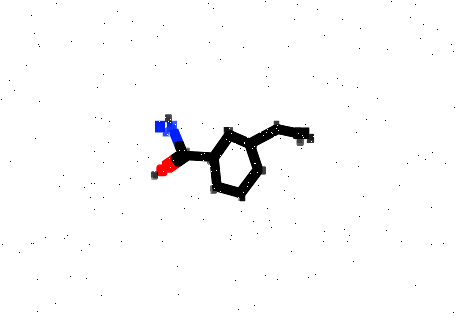 CCC1CCCC(C(N)=O)C1